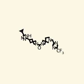 O=C(N1CC2(CC(c3nnc(C4CC4)[nH]3)C2)C1)N1CC2(CCN(Cc3cnc(C(F)(F)F)cn3)C2)C1